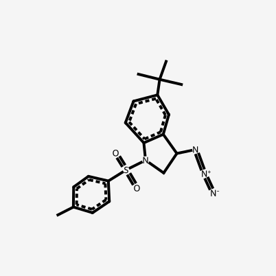 Cc1ccc(S(=O)(=O)N2CC(N=[N+]=[N-])c3cc(C(C)(C)C)ccc32)cc1